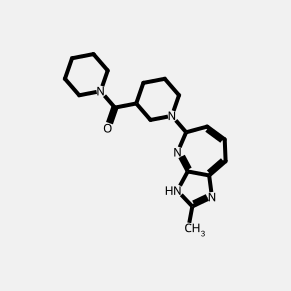 Cc1nc2c([nH]1)=NC(N1CCCC(C(=O)N3CCCCC3)C1)C=CC=2